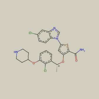 C[C@@H](Oc1cc(-n2cnc3cc(Cl)ccc32)sc1C(N)=O)c1cccc(OC2CCNCC2)c1Cl